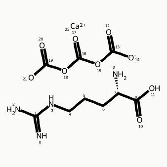 N=C(N)NCCC[C@H](N)C(=O)O.O=C([O-])OC(=O)OC(=O)[O-].[Ca+2]